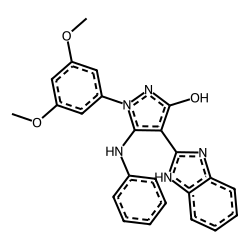 COc1cc(OC)cc(-n2nc(O)c(-c3nc4ccccc4[nH]3)c2Nc2ccccc2)c1